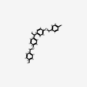 Cc1ccc(COc2ccc(C(C)c3ccc(OCc4ccc(C)cc4)cc3)cc2)cc1